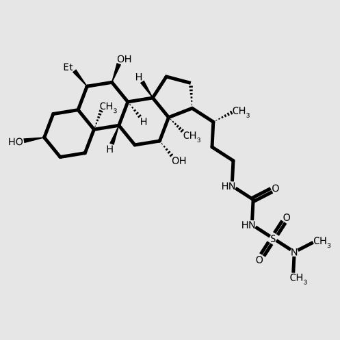 CC[C@@H]1C2C[C@H](O)CC[C@]2(C)[C@H]2C[C@@H](O)[C@]3(C)[C@@H]([C@H](C)CCNC(=O)NS(=O)(=O)N(C)C)CC[C@H]3[C@@H]2[C@@H]1O